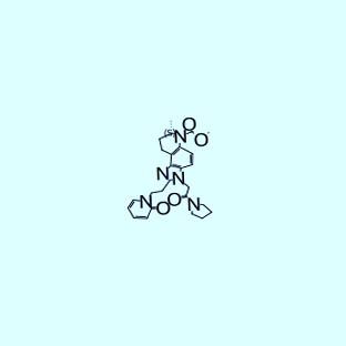 COC(=O)N1c2ccc3c(nc(CCn4ccccc4=O)n3CC(=O)N3CCCC3)c2CC[C@@H]1C